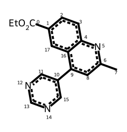 CCOC(=O)c1ccc2nc(C)cc(-c3cncnc3)c2c1